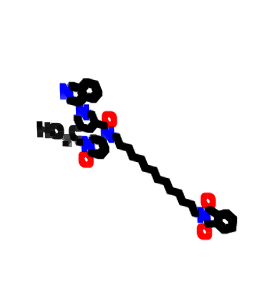 O=C(O)Cn1cc(N(CCCCCCCCCCCCCCN2C(=O)c3ccccc3C2=O)C(=O)C2CCCN(c3cncc4ccccc34)C2)ccc1=O